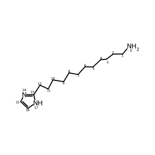 NCCCCCCCCCCCCc1ncc[nH]1